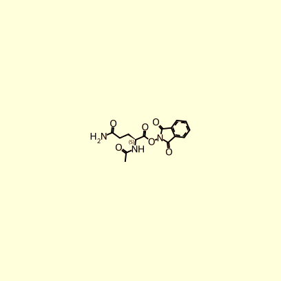 CC(=O)N[C@@H](CCC(N)=O)C(=O)ON1C(=O)c2ccccc2C1=O